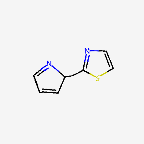 C1=CC(c2nccs2)N=C1